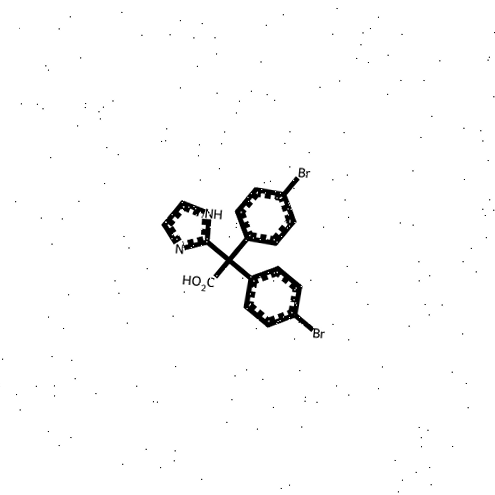 O=C(O)C(c1ccc(Br)cc1)(c1ccc(Br)cc1)c1ncc[nH]1